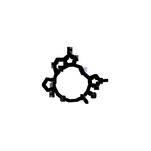 CN1CCOC[C@@H]2CCCN2c2ncc3[nH]nc(c3n2)/C=C/c2cn(C)nc2C1=O